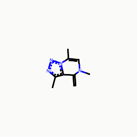 C=C1c2c(C)nnn2C(C)=CN1C